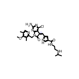 COc1c(C)cnc(CN2C(=O)/C(=C\c3cc(C(=O)NCCNC(C)C)c[nH]3)c3c(Cl)nc(N)nc32)c1C